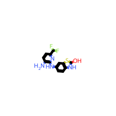 Nc1ccc(C(F)F)nc1Nc1ccc2c(c1)SC(O)N2